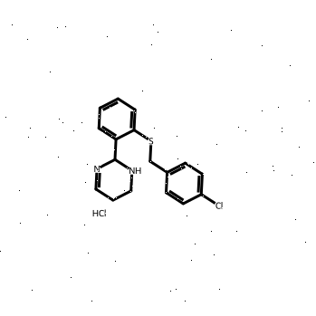 Cl.Clc1ccc(CSc2ccccc2C2N=CCCN2)cc1